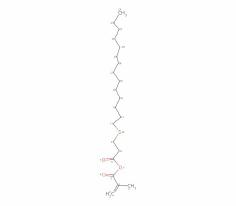 C=C(C)C(=O)OC(=O)CCSCCCCCCCCCCCCCC